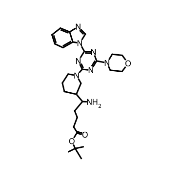 CC(C)(C)OC(=O)CCCC(N)C1CCCN(c2nc(N3CCOCC3)nc(-n3cnc4ccccc43)n2)C1